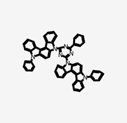 c1ccc(-c2nc(-n3c4ccccc4c4c5c6ccccc6n(-c6ccccc6)c5ccc43)nc(-n3c4ccccc4c4c5c6ccccc6n(-c6ccccc6)c5ccc43)n2)cc1